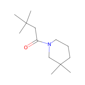 CC(C)(C)CC(=O)N1CCCC(C)(C)C1